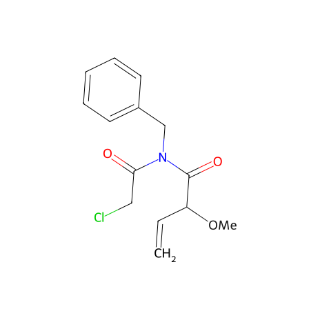 C=CC(OC)C(=O)N(Cc1ccccc1)C(=O)CCl